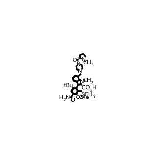 COc1c(C(N)=O)cc(C(C)(C)C)c(-c2c(C(=O)O)n(C)c3c(CN4CCN(C(=O)[C@@H]5CCCN5C)CC4)cccc23)c1C[S+](C)[O-]